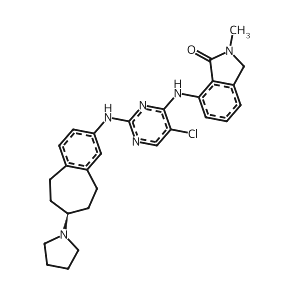 CN1Cc2cccc(Nc3nc(Nc4ccc5c(c4)CC[C@@H](N4CCCC4)CC5)ncc3Cl)c2C1=O